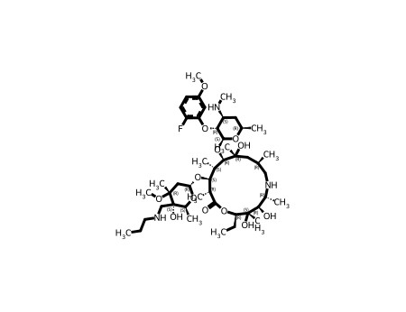 CCCNC[C@]1(O)[C@H](C)O[C@@H](O[C@H]2[C@H](C)[C@@H](O[C@@H]3O[C@H](C)C[C@H](NC)[C@H]3Oc3cc(OC)ccc3F)[C@](C)(O)C[C@@H](C)CN[C@H](C)[C@@H](O)[C@](C)(O)[C@@H](CC)OC(=O)[C@@H]2C)C[C@@]1(C)OC